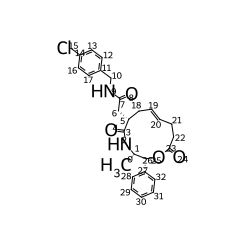 C[C@@H]1NC(=O)[C@H](CC(=O)NCc2ccc(Cl)cc2)C/C=C/CCC(=O)O[C@@H]1c1ccccc1